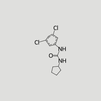 O=C(Nc1cc(Cl)cc(Cl)c1)NC1CCCC1